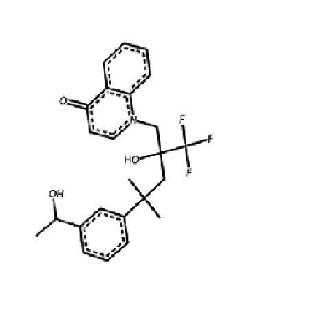 CC(O)c1cccc(C(C)(C)CC(O)(Cn2ccc(=O)c3ccccc32)C(F)(F)F)c1